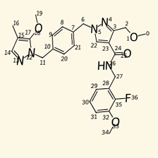 COCc1nn(Cc2ccc(Cn3ncc(C)c3OC)cc2)cc1C(=O)NCc1cccc(OC)c1F